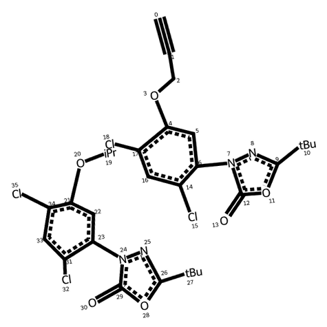 C#CCOc1cc(-n2nc(C(C)(C)C)oc2=O)c(Cl)cc1Cl.CC(C)Oc1cc(-n2nc(C(C)(C)C)oc2=O)c(Cl)cc1Cl